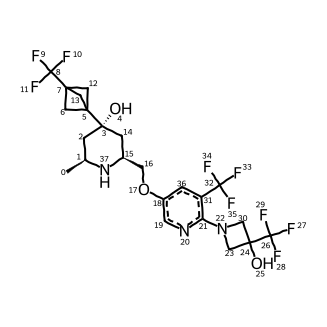 C[C@H]1C[C@@](O)(C23CC(C(F)(F)F)(C2)C3)C[C@@H](COc2cnc(N3CC(O)(C(F)(F)F)C3)c(C(F)(F)F)c2)N1